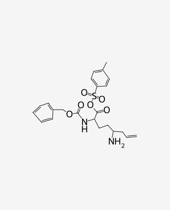 C=CCC(N)CCC(NC(=O)OCc1ccccc1)C(=O)OS(=O)(=O)c1ccc(C)cc1